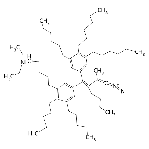 CCCCCCc1cc(C(=C(CCCC)C(C)=C=[N+]=[N-])c2cc(CCCCC)c(CCCCC)c(CCCCC)c2)cc(CCCCCC)c1CCCCCC.C[CH2][Ni][CH2]C